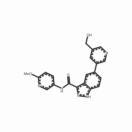 COc1ccc(NC(=O)c2n[nH]c3ccc(-c4cncc(CO)c4)cc23)cn1